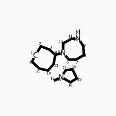 C1CCCC(N2CCCCNCC2)CCC1.CN1CCCC1